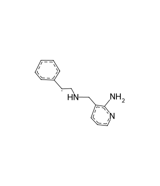 Nc1ncccc1CNC[CH]c1ccccc1